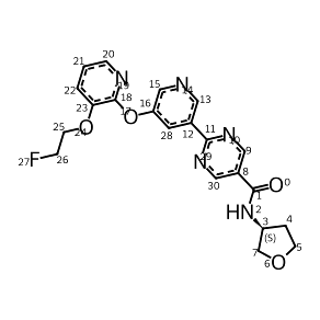 O=C(N[C@H]1CCOC1)c1cnc(-c2cncc(Oc3ncccc3OCCF)c2)nc1